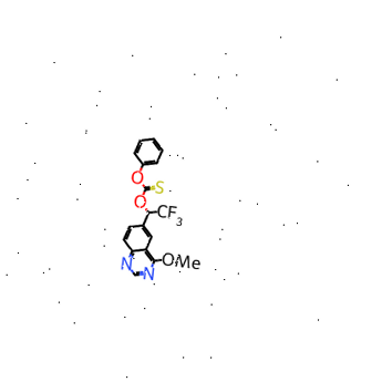 COc1ncnc2ccc(C(OC(=S)Oc3ccccc3)C(F)(F)F)cc12